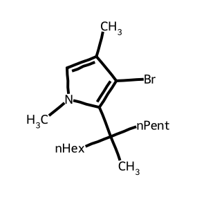 CCCCCCC(C)(CCCCC)c1c(Br)c(C)cn1C